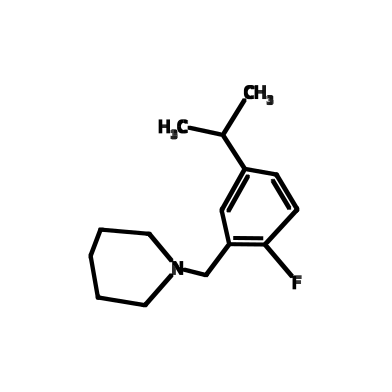 CC(C)c1ccc(F)c(CN2CCCCC2)c1